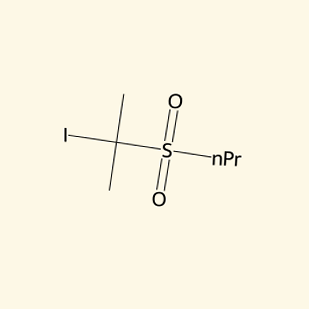 CCCS(=O)(=O)C(C)(C)I